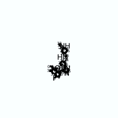 CCN(C(=O)c1cc(F)ccc1Oc1cncnc1N1CCC[C@@H](CNC[C@H]2CC[C@H](NSC)CC2)C1)C(C)C